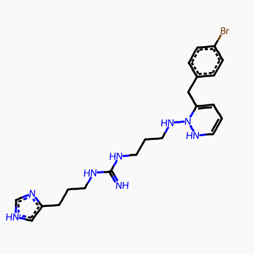 N=C(NCCCNN1NC=CC=C1Cc1ccc(Br)cc1)NCCCc1c[nH]cn1